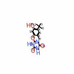 CC(C)(C)c1cc(Cn2c(=O)[nH]c(=O)[nH]c2=O)ccc1O